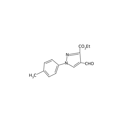 CCOC(=O)c1nn(-c2ccc(C)cc2)cc1C=O